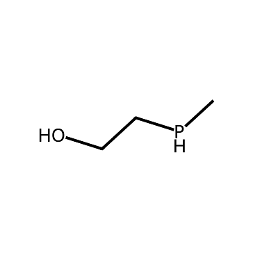 CPCCO